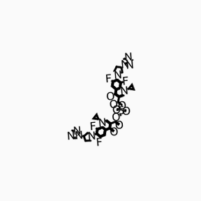 O=C(OCS(=O)(=O)OC(=O)c1cn(C2CC2)c2c(F)c(N3CCC(n4cncn4)C3)c(F)cc2c1=O)c1cn(C2CC2)c2c(F)c(N3CCC(n4cncn4)C3)c(F)cc2c1=O